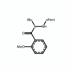 CCCCCNN(C(=O)c1ccccc1OC)C(C)(C)C